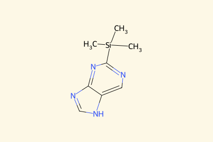 C[Si](C)(C)c1ncc2[nH]cnc2n1